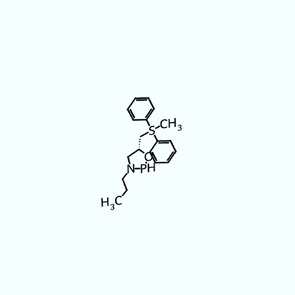 CCCN1C[C@H](CS(C)(c2ccccc2)c2ccccc2)OP1